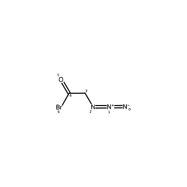 [N-]=[N+]=NCC(=O)Br